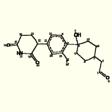 O=CCC1CCC(O)(c2ccc(C3CCC(=O)NC3=O)cc2F)CC1